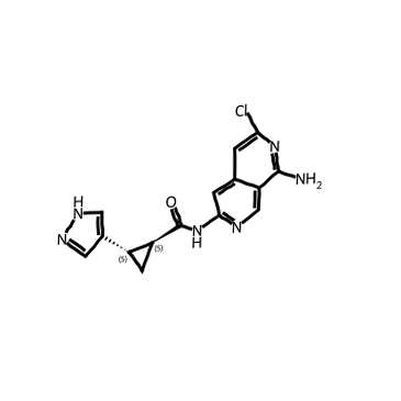 Nc1nc(Cl)cc2cc(NC(=O)[C@H]3C[C@@H]3c3cn[nH]c3)ncc12